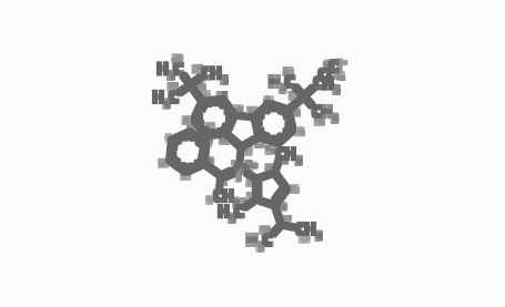 CC1=[C](/[Zr+2](=[C](\C)c2ccccc2)[CH]2c3ccc(C(C)(C)C)cc3-c3cc(C(C)(C)C)ccc32)C(C)C=C1C(C)C.[Cl-].[Cl-]